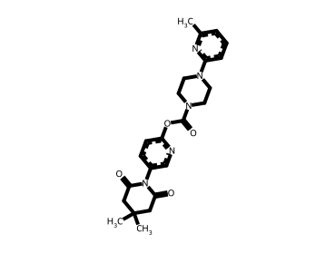 Cc1cccc(N2CCN(C(=O)Oc3ccc(N4C(=O)CC(C)(C)CC4=O)cn3)CC2)n1